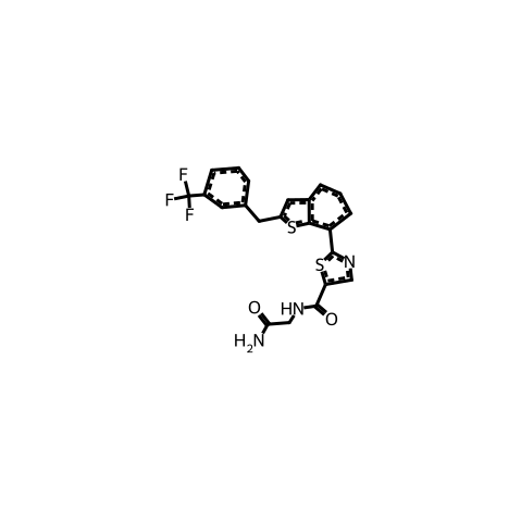 NC(=O)CNC(=O)c1cnc(-c2cccc3cc(Cc4cccc(C(F)(F)F)c4)sc23)s1